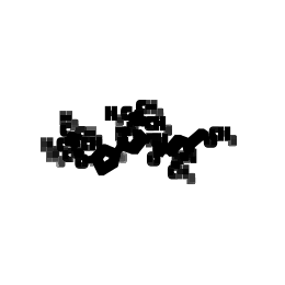 COCc1cc(C(=O)Nc2cc([C@H]3CC[C@@H](O[Si](C)(C)C(C)(C)C)C3)nn2C(C)(C)C)n(C)n1